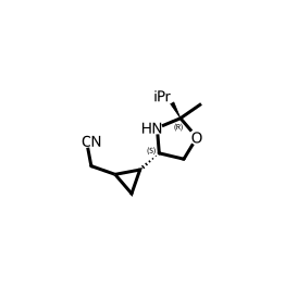 CC(C)[C@]1(C)N[C@@H](C2CC2CC#N)CO1